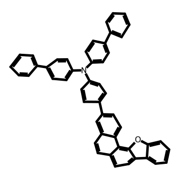 c1ccc(-c2ccc(N(c3ccc(-c4ccccc4)cc3)c3ccc(-c4ccc5c(ccc6ccc7c8ccccc8oc7c65)c4)cc3)cc2)cc1